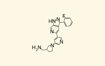 NCC1CCN(c2cncc(-c3cc4c(-c5ccccc5F)n[nH]c4cn3)c2)C1